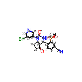 CS(=O)(=O)c1cc(C#N)ccc1C1NC(=O)N(c2cncc(Br)c2)C2=C1C(=O)CC2